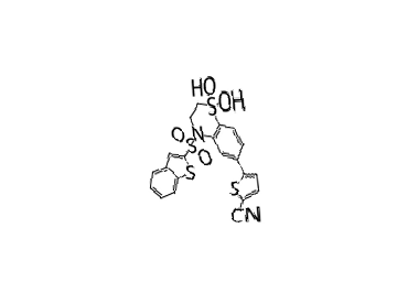 N#Cc1ccc(-c2ccc3c(c2)N(S(=O)(=O)c2cc4ccccc4s2)CCS3(O)O)s1